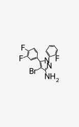 Nc1nn(-c2ccccc2F)c(-c2ccc(F)c(F)c2)c1Br